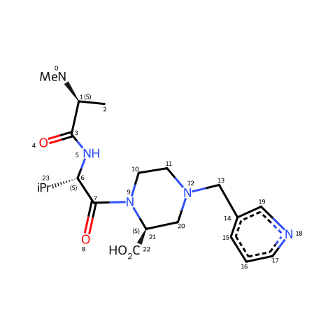 CN[C@@H](C)C(=O)N[C@H](C(=O)N1CCN(Cc2cccnc2)C[C@H]1C(=O)O)C(C)C